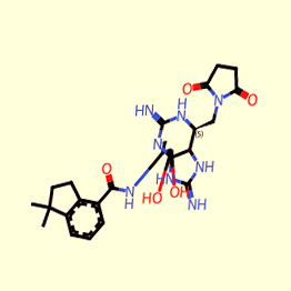 CC1(C)CCc2c(C(=O)NC3CN4C(=N)N[C@@H](CN5C(=O)CCC5=O)C5NC(=N)NC54C3(O)O)cccc21